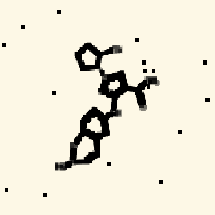 N#C[C@@H]1CCC[C@H]1n1cc(C(N)=O)c(Nc2ccc3c(c2)C=CB(O)O3)n1